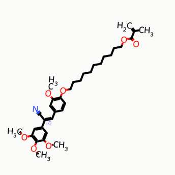 C=C(C)C(=O)OCCCCCCCCCCCOc1ccc(/C=C(\C#N)c2cc(OC)c(OC)c(OC)c2)cc1OC